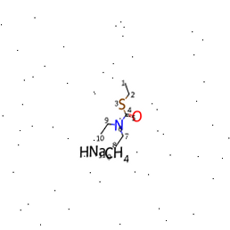 C.CCSC(=O)N(CC)CC.[NaH]